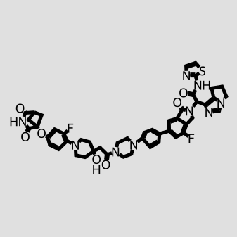 O=C1NC(=O)C2(Oc3ccc(N4CCC(O)(CC(=O)N5CCN(c6ccc(-c7cc(F)c8c(c7)C(=O)N(C(C(=O)Nc7nccs7)c7ncn9c7CCC9)C8)cc6)CC5)CC4)c(F)c3)CC1C2